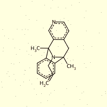 C=CCN1C2(C)Cc3ccncc3C1(C)c1ccccc12